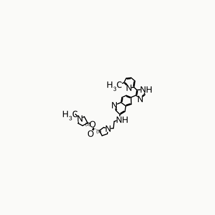 Cc1cccc(-c2[nH]cnc2-c2ccc3ncc(NCCN4CC[C@H](C(=O)O[C@H]5CCN(C)C5)C4)cc3c2)n1